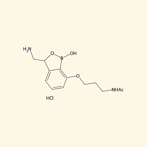 CC(=O)NCCCOc1cccc2c1B(O)OC2CN.Cl